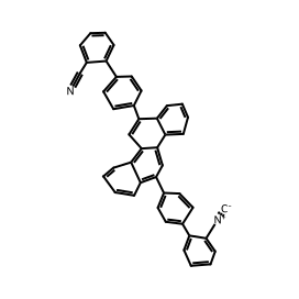 [C-]#[N+]c1ccccc1-c1ccc(-c2cc3c4ccccc4c(-c4ccc(-c5ccccc5C#N)cc4)cc3c3ccccc23)cc1